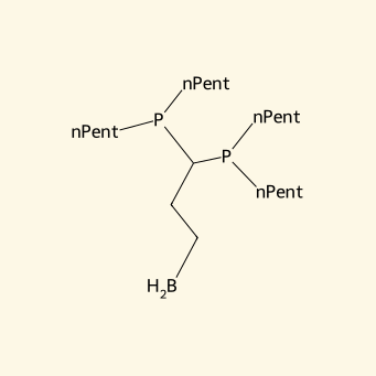 BCCC(P(CCCCC)CCCCC)P(CCCCC)CCCCC